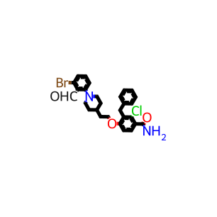 NC(=O)c1ccc(OCCC2CCN(c3cccc(Br)c3C=O)CC2)c(Cc2ccccc2)c1Cl